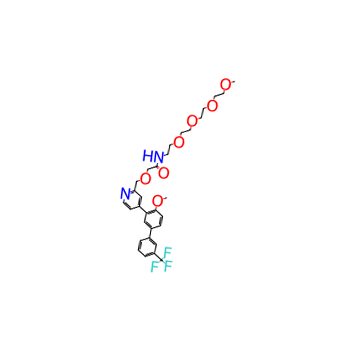 COCCOCCOCCOCCNC(=O)COCc1cc(-c2cc(-c3cccc(C(F)(F)F)c3)ccc2OC)ccn1